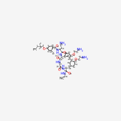 C=CCC(C)(C)COc1ccc(C(=O)N[C@@H](CCN)C(=O)N(C)[C@@H]2C(=O)N[C@@H](C)C(=O)N[C@H](C(=O)NCC#N)Cc3ccc(OCCN)c(c3)-c3cc2ccc3OCCN)c(C)c1